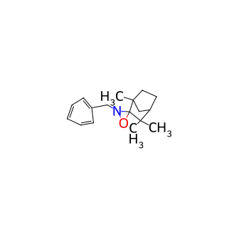 CC12CCC(C1)C(C)(C)C21ON1Cc1ccccc1